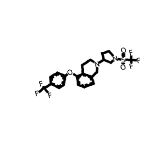 O=S(=O)(N1CCC(N2CCc3c(cccc3Oc3ccc(C(F)(F)F)cc3)C2)C1)C(F)(F)F